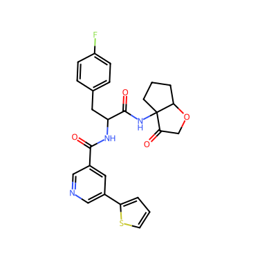 O=C(NC(Cc1ccc(F)cc1)C(=O)NC12CCCC1OCC2=O)c1cncc(-c2cccs2)c1